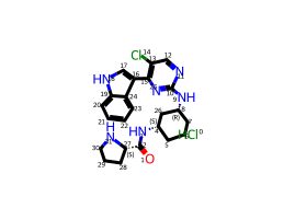 Cl.O=C(N[C@H]1CCC[C@@H](Nc2ncc(Cl)c(-c3c[nH]c4ccccc34)n2)C1)[C@@H]1CCCN1